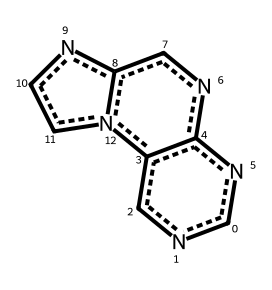 c1ncc2c(n1)ncc1nccn12